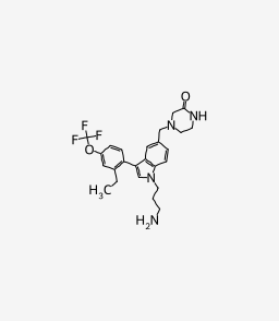 CCc1cc(OC(F)(F)F)ccc1-c1cn(CCCN)c2ccc(CN3CCNC(=O)C3)cc12